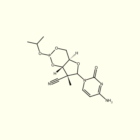 CC(C)OP1OC[C@H]2OC(n3ccc(N)nc3=O)[C@](C)(C#N)[C@@H]2O1